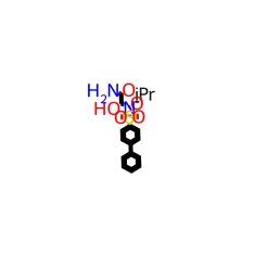 CC(C)ON(C(O)C(N)=O)S(=O)(=O)c1ccc(-c2ccccc2)cc1